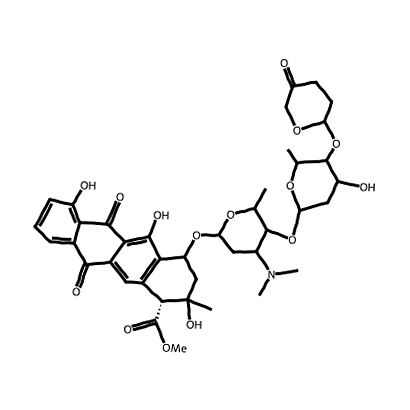 COC(=O)[C@@H]1c2cc3c(c(O)c2C(OC2CC(N(C)C)C(OC4CC(O)C(OC5CCC(=O)CO5)C(C)O4)C(C)O2)CC1(C)O)C(=O)c1c(O)cccc1C3=O